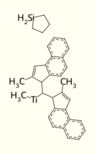 C1CC[SiH2]C1.[CH3][Ti][CH](C1C(C)=Cc2c1ccc1ccccc21)C1C(C)=Cc2c1ccc1ccccc21